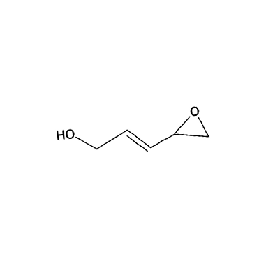 OCC=CC1CO1